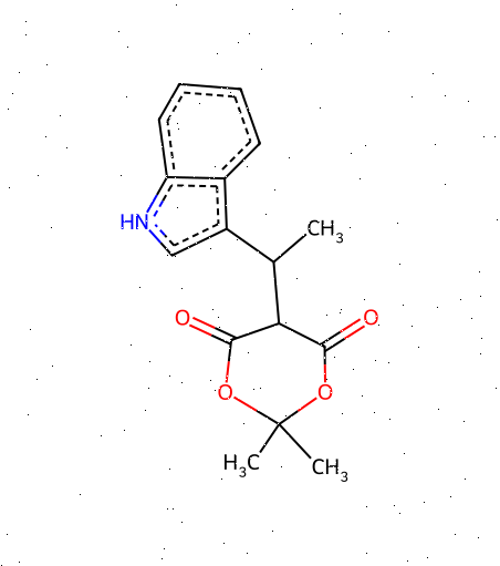 CC(c1c[nH]c2ccccc12)C1C(=O)OC(C)(C)OC1=O